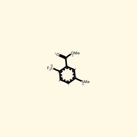 COC(=O)c1cc(SC)ccc1C(F)(F)F